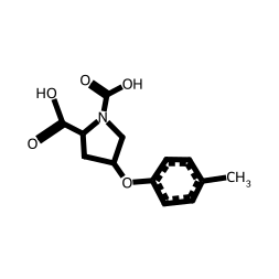 Cc1ccc(OC2CC(C(=O)O)N(C(=O)O)C2)cc1